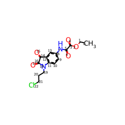 CCOC(=O)C(=O)Nc1ccc2c(c1)C(=O)C(=O)N2CCCCl